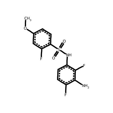 COc1ccc(S(=O)(=O)Nc2ccc(F)c(N)c2F)c(F)c1